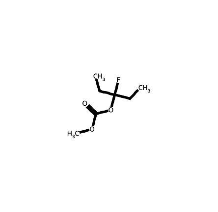 CCC(F)(CC)OC(=O)OC